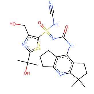 CC(C)(O)c1nc(CO)c(S(=O)(=NC(=O)Nc2c3c(nc4c2CCC4(C)C)CCC3)NC#N)s1